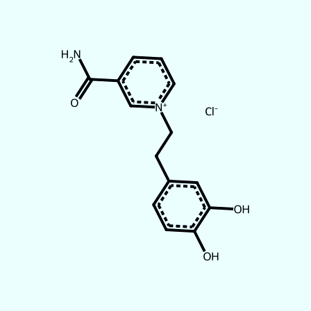 NC(=O)c1ccc[n+](CCc2ccc(O)c(O)c2)c1.[Cl-]